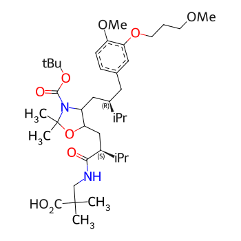 COCCCOc1cc(C[C@H](CC2C(C[C@H](C(=O)NCC(C)(C)C(=O)O)C(C)C)OC(C)(C)N2C(=O)OC(C)(C)C)C(C)C)ccc1OC